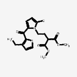 CCc1ccsc1C(=O)c1ccc(Cl)n1CCC(C(=O)OC)C(=O)OC